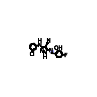 N#Cc1c(Nc2cccc(Cl)c2)n[nH]c1/N=C/c1ccc(F)cc1O